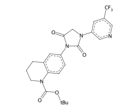 CC(C)(C)OC(=O)N1CCCc2cc(N3C(=O)CN(c4cncc(C(F)(F)F)c4)C3=O)ccc21